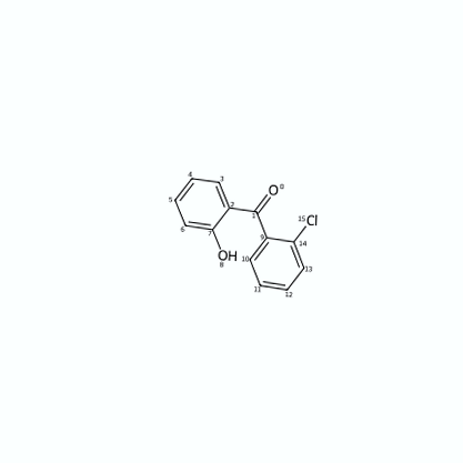 O=C(c1ccccc1O)c1ccccc1Cl